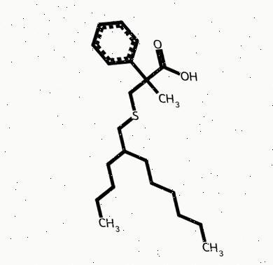 CCCCCCC(CCCC)CSCC(C)(C(=O)O)c1ccccc1